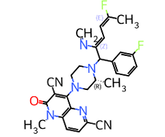 C=N/C(=C\C=C(/C)F)C(c1cccc(F)c1)N1CCN(c2c(C#N)c(=O)n(C)c3ccc(C#N)nc23)C[C@H]1C